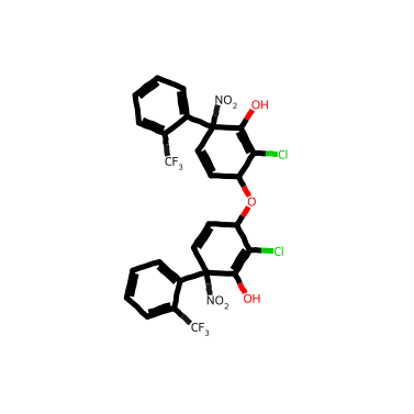 O=[N+]([O-])C1(c2ccccc2C(F)(F)F)C=CC(OC2C=CC(c3ccccc3C(F)(F)F)([N+](=O)[O-])C(O)=C2Cl)C(Cl)=C1O